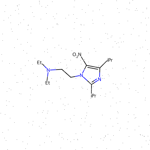 CCN(CC)CCn1c(C(C)C)nc(C(C)C)c1[N+](=O)[O-]